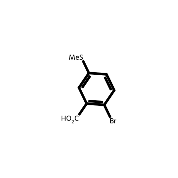 CSc1ccc(Br)c(C(=O)O)c1